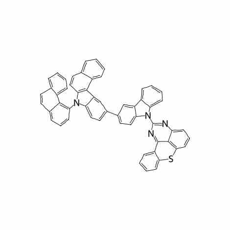 c1ccc2c(c1)Sc1cccc3nc(-n4c5ccccc5c5cc(-c6ccc7c(c6)c6c8ccccc8ccc6n7-c6cccc7ccc8ccccc8c67)ccc54)nc-2c13